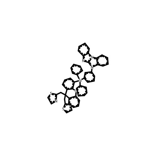 c1ccc([Si](c2ccccc2)(c2cccc(-n3c4ccccc4n4c5ccccc5nc34)c2)c2cccc3c2Oc2ccccc2C3(Cc2nccs2)Cc2nccs2)cc1